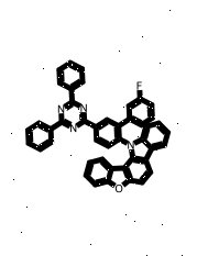 Fc1cccc(-c2cc(-c3nc(-c4ccccc4)nc(-c4ccccc4)n3)ccc2-n2c3ccccc3c3ccc4oc5ccccc5c4c32)c1